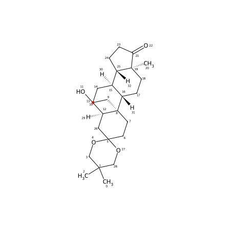 CC1(C)COC2(CC[C@@]3(CCO)[C@H](CC[C@@H]4[C@@H]3CC[C@]3(C)C(=O)CC[C@@H]43)C2)OC1